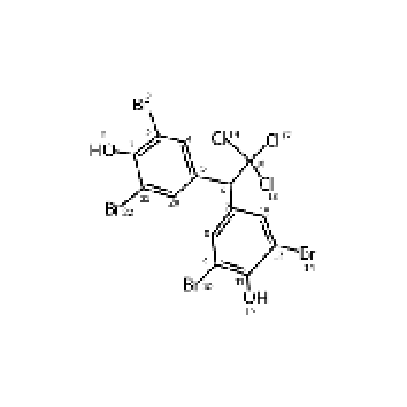 Oc1c(Br)cc(C(c2cc(Br)c(O)c(Br)c2)C(Cl)(Cl)Cl)cc1Br